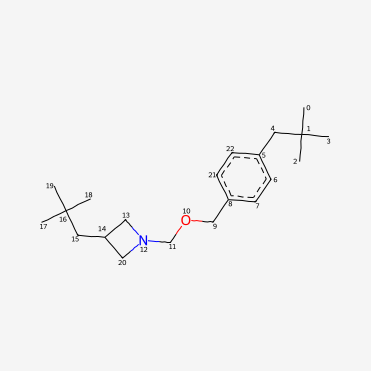 CC(C)(C)Cc1ccc(COCN2CC(CC(C)(C)C)C2)cc1